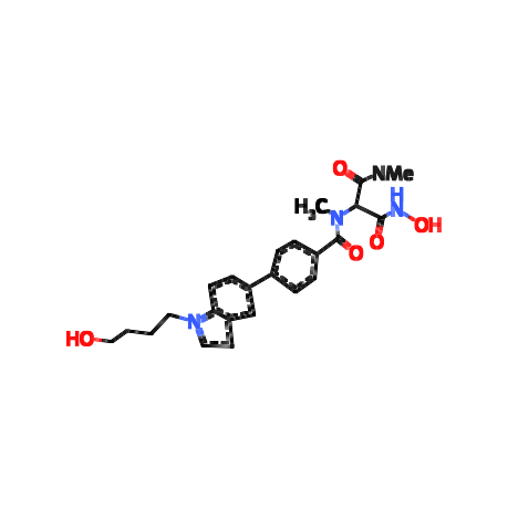 CNC(=O)C(C(=O)NO)N(C)C(=O)c1ccc(-c2ccc3c(ccn3CCCCO)c2)cc1